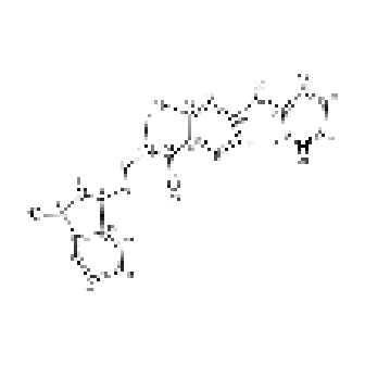 CN(CCC1OC(=O)c2ccccc21)C(=O)c1ccc(Oc2cnccn2)cc1F